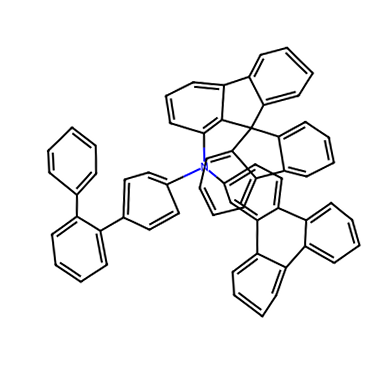 c1ccc(-c2ccccc2-c2ccc(N(c3ccc4c5ccccc5c5ccccc5c4c3)c3cccc4c3C3(c5ccccc5-c5ccccc53)c3ccccc3-4)cc2)cc1